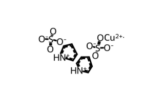 O=S(=O)([O-])[O-].O=S(=O)([O-])[O-].[Cu+2].c1cc[nH+]cc1.c1cc[nH+]cc1